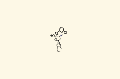 O=C(O)/C(=C\c1c(Cl)cccc1Cl)CC(=O)N1CC2CCCCC2C1